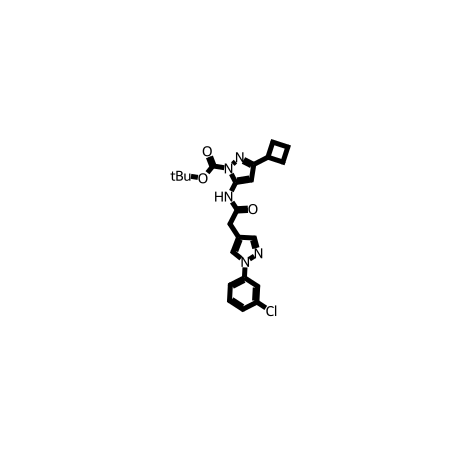 CC(C)(C)OC(=O)n1nc(C2CCC2)cc1NC(=O)Cc1cnn(-c2cccc(Cl)c2)c1